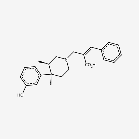 C[C@H]1CN(C/C(=C/c2ccccc2)C(=O)O)CC[C@@]1(C)c1cccc(O)c1